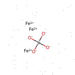 [Fe+2].[Fe+2].[Fe+2].[O-][Si]([O-])([O-])[O-]